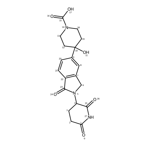 O=C1CCC(N2Cc3cc(C4(O)CCN(C(=O)O)CC4)ccc3C2=O)C(=O)N1